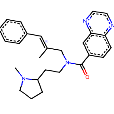 C/C(=C\c1ccccc1)CN(CCC1CCCN1C)C(=O)c1ccc2nccnc2c1